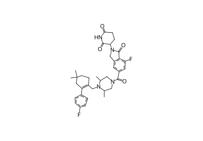 CC1CN(C(=O)c2cc(F)c3c(c2)CN(C2CCC(=O)NC2=O)C3=O)CC(C)N1CC1=C(c2ccc(F)cc2)CC(C)(C)CC1